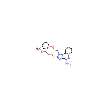 COCCOCc1nc2c(N)nc3ccccc3c2n1CCOc1ccccc1